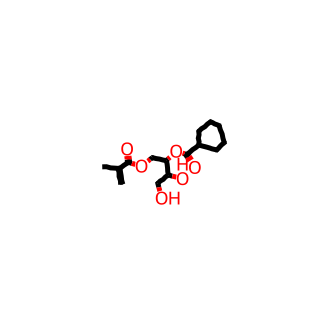 C=C(C)C(=O)OCC(OC(=O)C1CCCCC1)C(O)CO